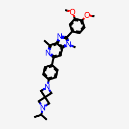 COc1ccc(-c2nc3c(C)nc(-c4ccc(N5CC6(C5)CN(C(C)C)C6)cc4)cc3n2C)cc1OC